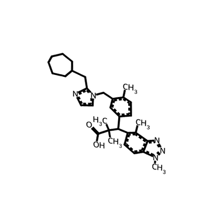 Cc1ccc(C(c2ccc3c(nnn3C)c2C)C(C)(C)C(=O)O)cc1Cn1ccnc1CC1CCCCCC1